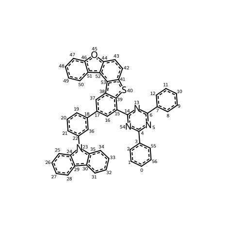 c1ccc(-c2nc(-c3ccccc3)nc(-c3cc(-c4cccc(-n5c6ccccc6c6ccccc65)c4)cc4c3sc3ccc5oc6ccccc6c5c34)n2)cc1